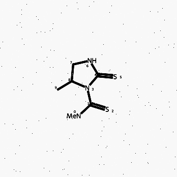 CNC(=S)N1C(=S)NCC1C